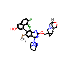 Oc1cc(-c2c(SC(F)(F)F)cc3c(N4CC5CCC(C4)N5)nc(OCC4(CN5C[C@@H]6C[C@H]5CO6)CC4)nc3c2F)c2c(F)c(F)ccc2c1